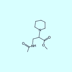 COC(=O)C(CNC(C)=O)N1CCCCC1